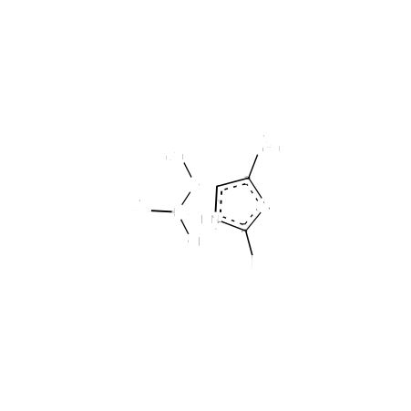 CCCCOP(O)O.CCCCc1c[nH]c(CC)n1